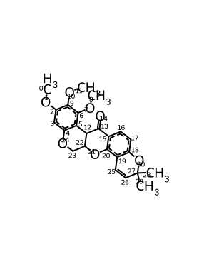 COc1cc2c(c(OC)c1OC)C1C(=O)c3ccc4c(c3OC1CO2)C=CC(C)(C)O4